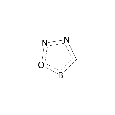 b1cnno1